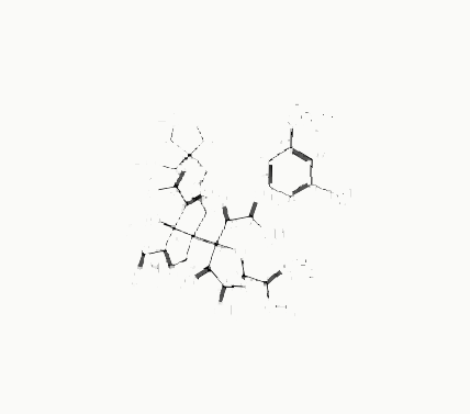 C=C(C)C(=O)OC(C(=O)C(=C)C)(C(=O)C(=C)C)C(CO)(COCC(CO)(CO)CO)C(O)(C(=O)C(=C)C)C(=O)C(=C)C.Nc1cccc(C(=O)O)c1